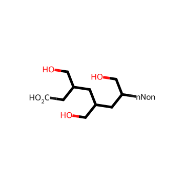 CCCCCCCCCC(CO)CC(CO)CC(CO)CC(=O)O